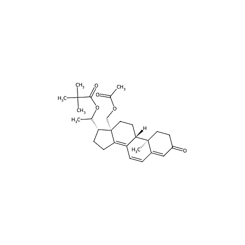 CC(=O)OC[C@]12CC[C@H]3C(=C1CC[C@@H]2C(C)OC(=O)C(C)(C)C)C=CC1=CC(=O)CC[C@@]13C